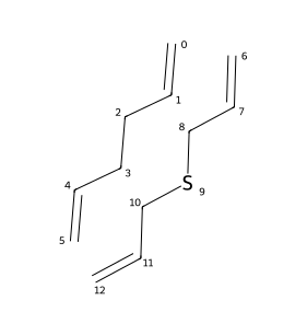 C=CCCC=C.C=CCSCC=C